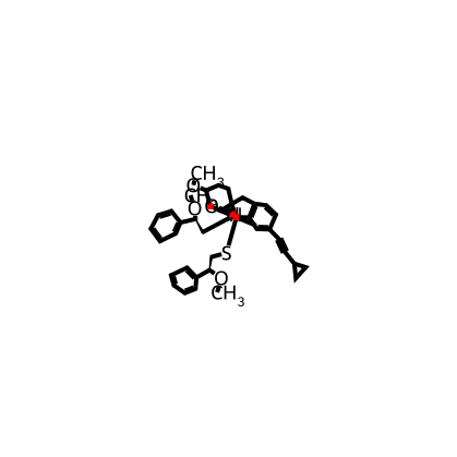 COC1CCC2(CC1)Cc1ccc(C#CC3CC3)cc1C21N=C(SC[C@@H](OC)c2ccccc2)N(C[C@H](OC)c2ccccc2)C1=O